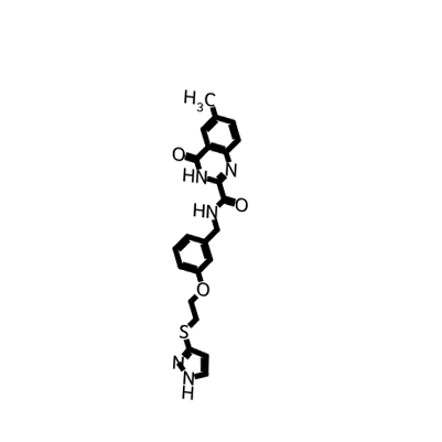 Cc1ccc2nc(C(=O)NCc3cccc(OCCSc4cc[nH]n4)c3)[nH]c(=O)c2c1